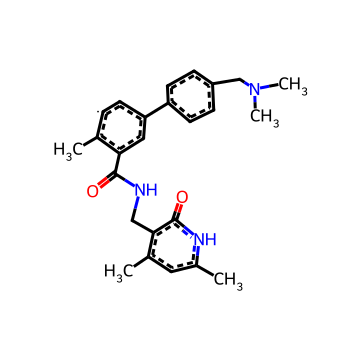 Cc1cc(C)c(CNC(=O)c2cc(-c3ccc(CN(C)C)cc3)c[c]c2C)c(=O)[nH]1